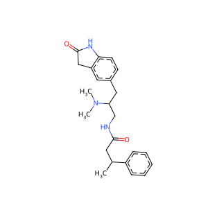 CC(CC(=O)NCC(Cc1ccc2c(c1)CC(=O)N2)N(C)C)c1ccccc1